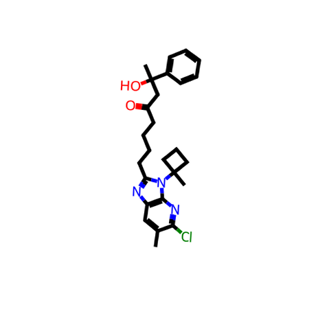 Cc1cc2nc(CCCCC(=O)CC(C)(O)c3ccccc3)n(C3(C)CCC3)c2nc1Cl